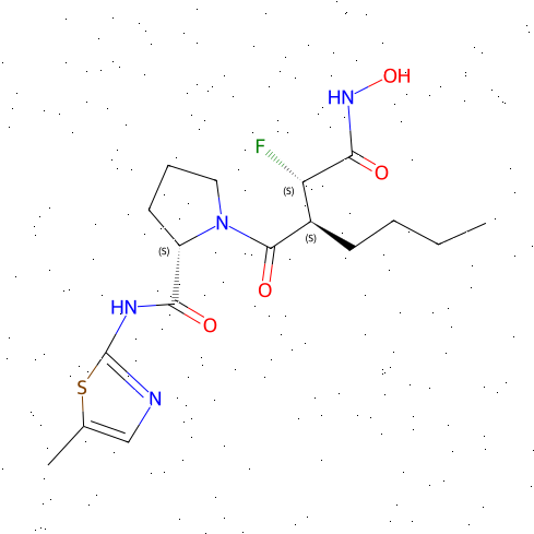 CCCC[C@@H](C(=O)N1CCC[C@H]1C(=O)Nc1ncc(C)s1)[C@H](F)C(=O)NO